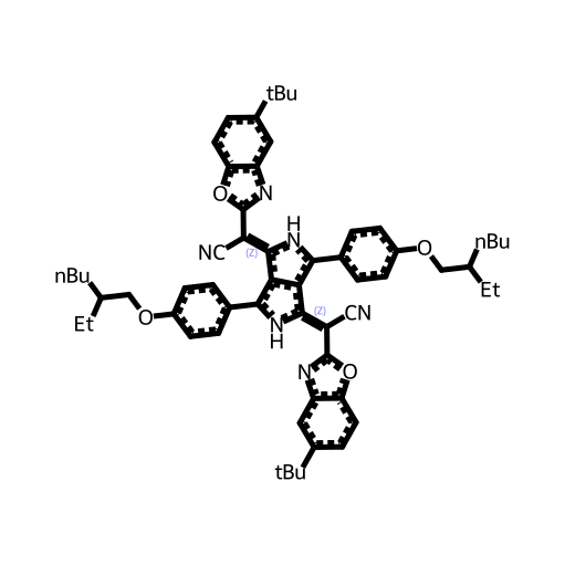 CCCCC(CC)COc1ccc(-c2[nH]/c(=C(/C#N)c3nc4cc(C(C)(C)C)ccc4o3)c3c(-c4ccc(OCC(CC)CCCC)cc4)[nH]/c(=C(/C#N)c4nc5cc(C(C)(C)C)ccc5o4)c23)cc1